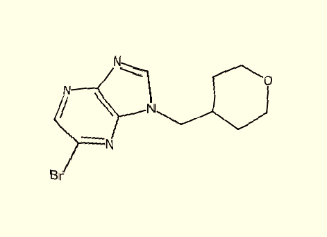 Brc1cnc2ncn(CC3CCOCC3)c2n1